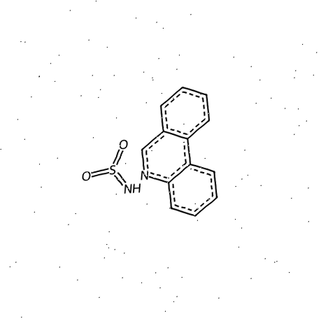 N=S(=O)=O.c1ccc2c(c1)cnc1ccccc12